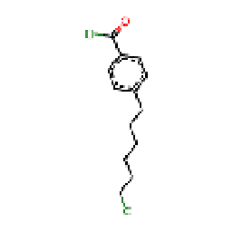 O=C(Cl)c1ccc(CCCCCCCl)cc1